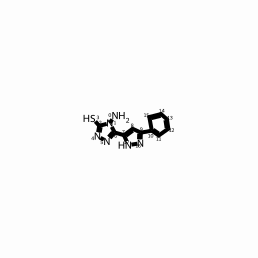 Nn1c(S)nnc1-c1cc(-c2ccccc2)n[nH]1